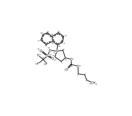 CCCCOC(=O)OC1CCS(OS(=O)(=O)C(F)(F)F)(c2cccc3ccccc23)C1